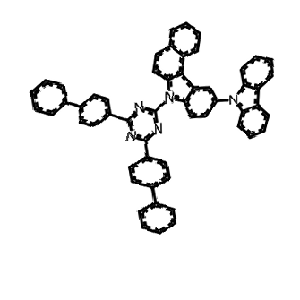 c1ccc(-c2ccc(-c3nc(-c4ccc(-c5ccccc5)cc4)nc(-n4c5ccc(-n6c7ccccc7c7ccccc76)cc5c5c6ccccc6ccc54)n3)cc2)cc1